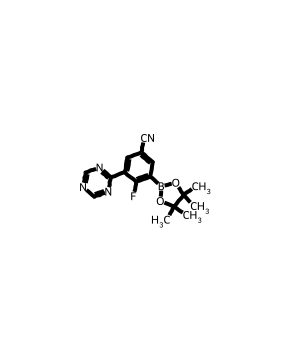 CC1(C)OB(c2cc(C#N)cc(-c3ncncn3)c2F)OC1(C)C